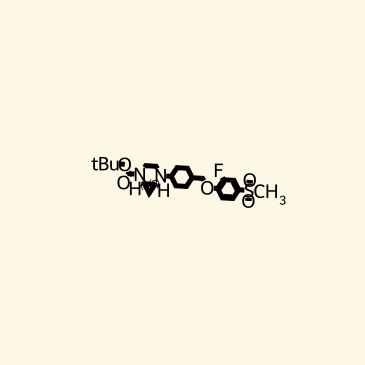 CC(C)(C)OC(=O)N1CCN(C2CCC(COc3ccc(S(C)(=O)=O)cc3F)CC2)[C@H]2C[C@H]21